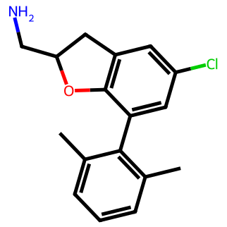 Cc1cccc(C)c1-c1cc(Cl)cc2c1OC(CN)C2